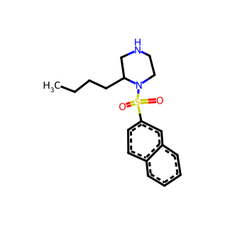 CCCCC1CNCCN1S(=O)(=O)c1ccc2ccccc2c1